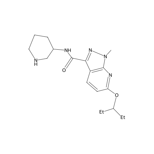 CCC(CC)Oc1ccc2c(C(=O)NC3CCCNC3)nn(C)c2n1